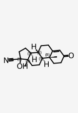 C[C@]12CCC(=O)C=C1CC[C@@H]1[C@@H]2CC[C@@]2(C)[C@H]1CC[C@@]2(O)C#N